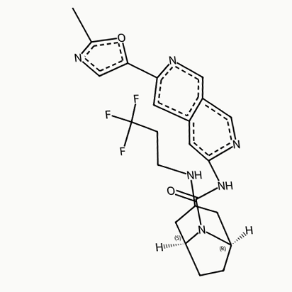 Cc1ncc(-c2cc3cc(NC(=O)N4[C@@H]5CC[C@H]4CC(NCCC(F)(F)F)C5)ncc3cn2)o1